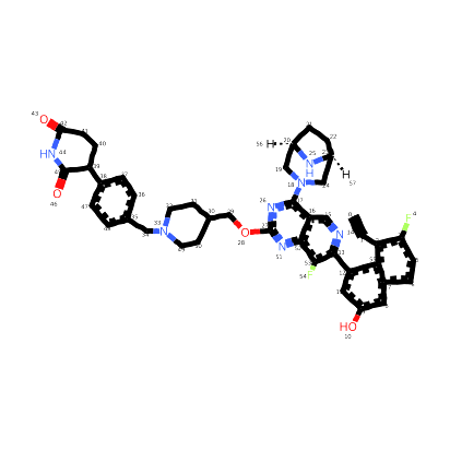 C#Cc1c(F)ccc2cc(O)cc(-c3ncc4c(N5C[C@H]6CC[C@@H](C5)N6)nc(OCC5CCN(Cc6ccc(C7CCC(=O)NC7=O)cc6)CC5)nc4c3F)c12